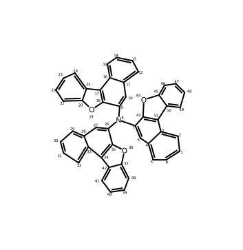 c1ccc2c(c1)cc(N(c1cc3ccccc3c3c1oc1ccccc13)c1cc3ccccc3c3c1oc1ccccc13)c1oc3ccccc3c12